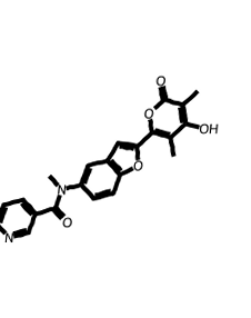 Cc1c(-c2cc3cc(N(C)C(=O)c4cccnc4)ccc3o2)oc(=O)c(C)c1O